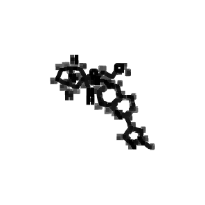 Cn1cc(-c2ccc3cnc(NC(=O)N4[C@@H]5CC[C@H]4CC(NCCC(F)(F)F)C5)cc3n2)cn1